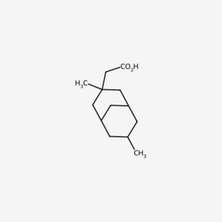 CC1CC2CC(C1)CC(C)(CC(=O)O)C2